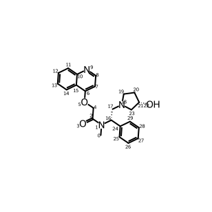 CN(C(=O)COc1ccnc2ccccc12)[C@H](CN1CC[C@H](O)C1)c1ccccc1